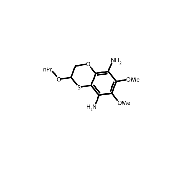 CCCOC1COc2c(N)c(OC)c(OC)c(N)c2S1